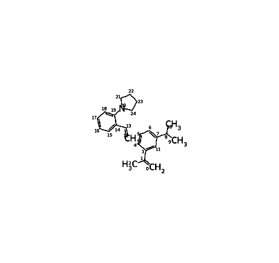 C=C(C)c1cccc(C(C)C)c1.C=Cc1ccccc1N1CCCC1